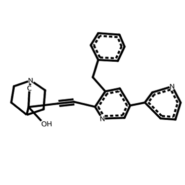 OC1(C#Cc2ncc(-c3cccnc3)cc2Cc2ccccc2)CN2CCC1CC2